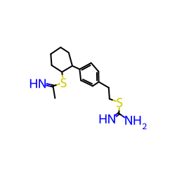 CC(=N)SC1CCCCC1c1ccc(CCSC(=N)N)cc1